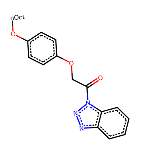 CCCCCCCCOc1ccc(OCC(=O)n2nnc3ccccc32)cc1